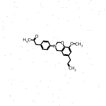 C=CCc1cc2c(c(OC)c1)OCN(c1ccc(CC(C)=O)cc1)C2